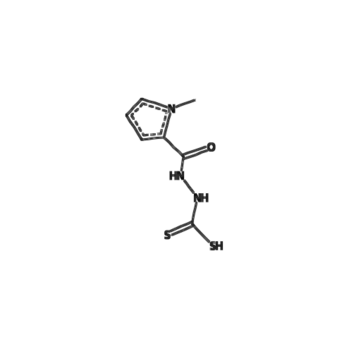 Cn1cccc1C(=O)NNC(=S)S